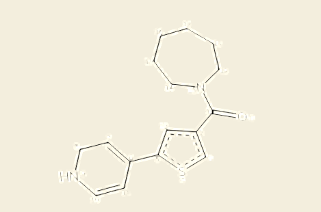 O=C(c1csc(C2=CCNC=C2)c1)N1CCCCCC1